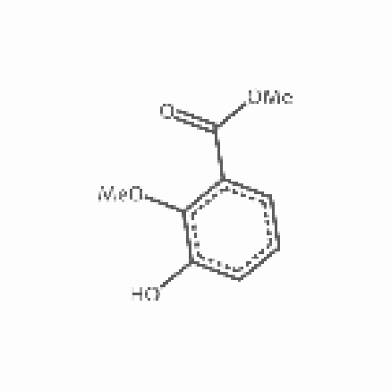 COC(=O)c1cccc(O)c1OC